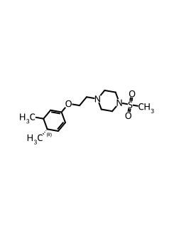 CC1C=C(OCCN2CCN(S(C)(=O)=O)CC2)C=C[C@@H]1C